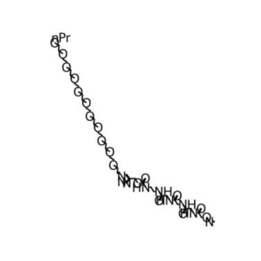 C=NOCC(=O)NCC(=O)NCC(=O)NCC(=O)NCCNC(=O)OCc1cn(CCOCCOCCOCCOCCOCCOCCOCCOCCOCCOCCOCCC)nn1